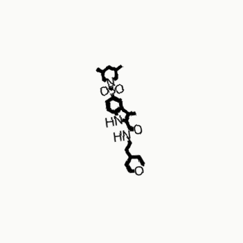 CC1CC(C)CN(S(=O)(=O)c2ccc3c(c2)C(C)C(C(=O)NCCC2CCOCC2)N3)C1